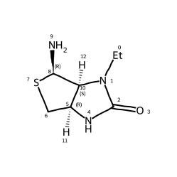 CCN1C(=O)N[C@H]2CS[C@@H](N)[C@H]21